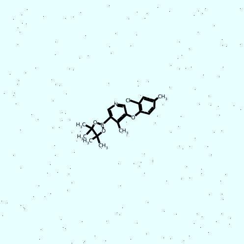 Cc1ccc(Oc2cncc(B3OC(C)(C)C(C)(C)O3)c2C)c(Cl)c1